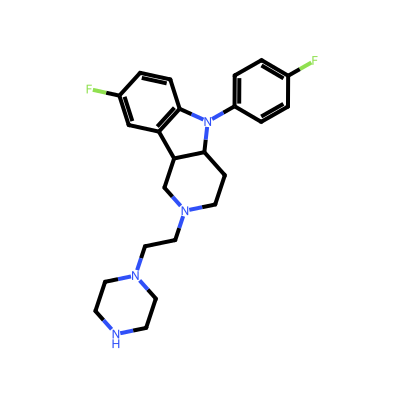 Fc1ccc(N2c3ccc(F)cc3C3CN(CCN4CCNCC4)CCC32)cc1